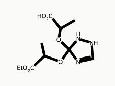 CCOC(=O)C(C)OC1(OC(C)C(=O)O)N=CNN1